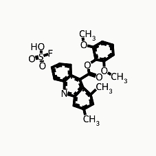 COc1cccc(OC)c1OC(=O)c1c2ccccc2nc2cc(C)cc(C)c12.O=S(=O)(O)F